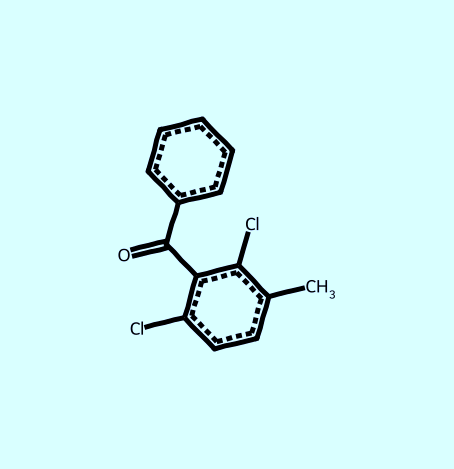 Cc1ccc(Cl)c(C(=O)c2ccccc2)c1Cl